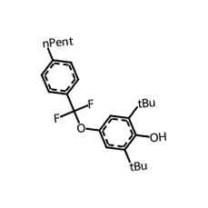 CCCCCc1ccc(C(F)(F)Oc2cc(C(C)(C)C)c(O)c(C(C)(C)C)c2)cc1